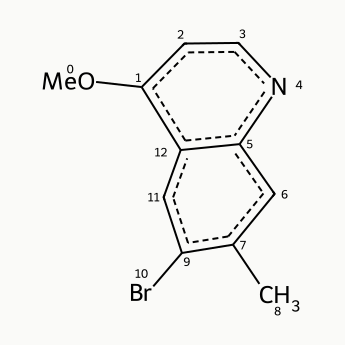 COc1ccnc2cc(C)c(Br)cc12